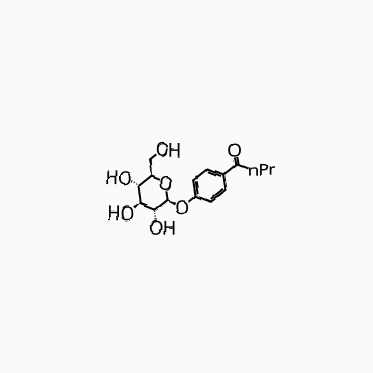 CCCC(=O)c1ccc(O[C@@H]2O[C@H](CO)[C@@H](O)[C@H](O)[C@H]2O)cc1